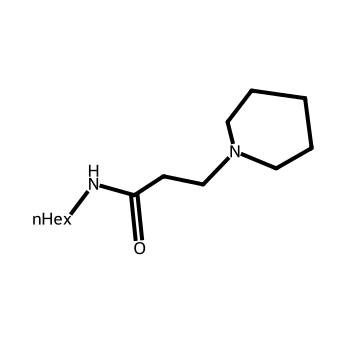 [CH2]CCCCCNC(=O)CCN1CCCCC1